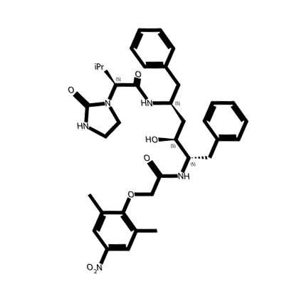 Cc1cc([N+](=O)[O-])cc(C)c1OCC(=O)N[C@@H](Cc1ccccc1)[C@@H](O)C[C@H](Cc1ccccc1)NC(=O)[C@H](C(C)C)N1CCNC1=O